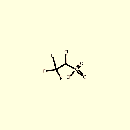 O=S(=O)(Cl)C(Cl)C(F)(F)F